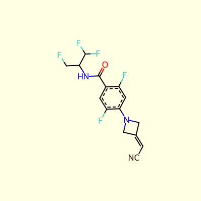 N#CC=C1CN(c2cc(F)c(C(=O)NC(CF)C(F)F)cc2F)C1